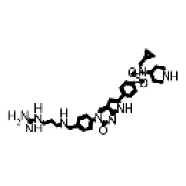 N=C(N)NCCCNCc1ccc(-n2cc3cc(-c4ccc(S(=O)(=O)N(CC5CC5)C5CCNCC5)cc4)[nH]c3nc2=O)cc1